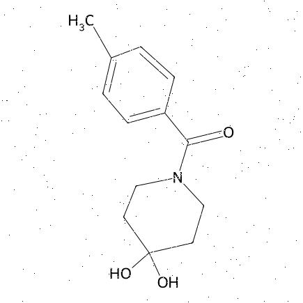 Cc1ccc(C(=O)N2CCC(O)(O)CC2)cc1